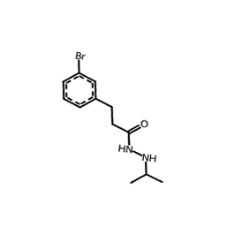 CC(C)NNC(=O)CCc1cccc(Br)c1